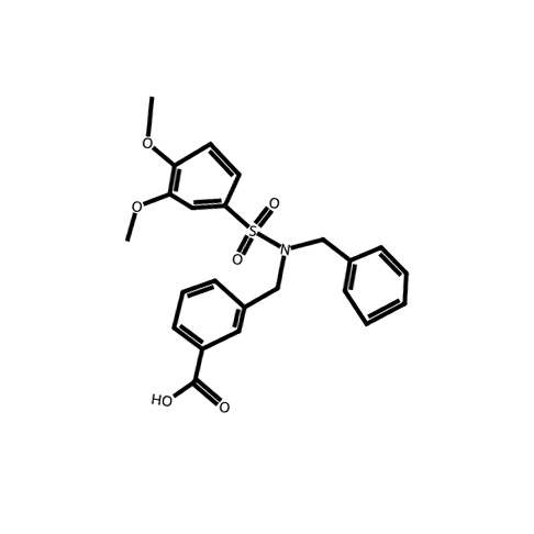 COc1ccc(S(=O)(=O)N(Cc2ccccc2)Cc2cccc(C(=O)O)c2)cc1OC